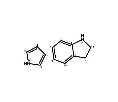 c1cc[nH]c1.c1ccc2c(c1)CCN2